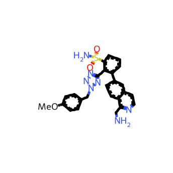 COc1ccc(Cn2nnc(-c3c(-c4ccc5c(CN)nccc5c4)cccc3S(N)(=O)=O)n2)cc1